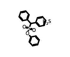 O=S(=O)(Oc1ccccc1)C(c1ccccc1)c1ccccc1.S